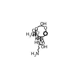 CC(C)[C@H]1COCCC(O)COc2ccc(cc2)C[C@@H](NC(=O)N[C@@H](CCCCN)C(=O)O)C(=O)N1